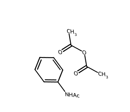 CC(=O)Nc1ccccc1.CC(=O)OC(C)=O